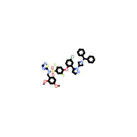 COc1ccc(CN(c2ncns2)S(=O)(=O)c2cc(F)c(Oc3ccc(Cl)cc3-c3ccnn3C3CN(C(c4ccccc4)c4ccccc4)C3)cc2F)c(OC)c1